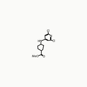 COC(=O)C1CCC(Nc2cc(Cl)nc(Cl)c2)CC1